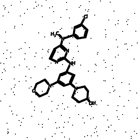 CN(c1cccc(Cl)c1)c1ccnc(Nc2cc(N3CCOCC3)cc(N3CCC(O)CC3)c2)n1